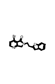 O=C1c2c(Br)ccnc2CN1CCc1cc2ccccc2o1